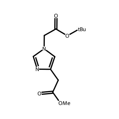 COC(=O)Cc1cn(CC(=O)OC(C)(C)C)cn1